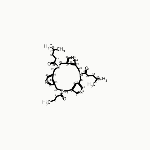 CCCC(=O)N1Cc2cncc(c2)CN(C(=O)CCC(C)C)Cc2cncc(c2)CN(C(=O)CCC(C)C)Cc2cncc(c2)C1